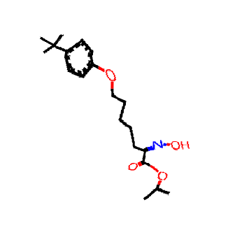 CC(C)OC(=O)C(CCCCCOc1ccc(C(C)(C)C)cc1)=NO